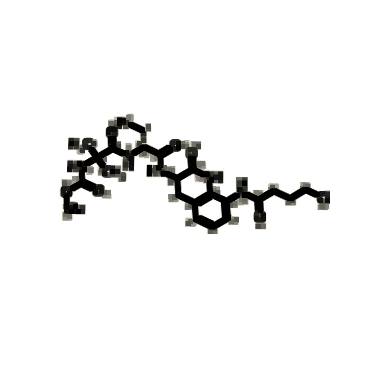 CC(C)C[C@@H](NC(=O)C(C)(C)NC(=O)OC(C)(C)C)C(=O)NC1Cc2cccc(NC(=O)CCCCl)c2NC1=O